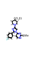 CCOC(=O)C1CCN(c2cn(-c3ccnc(SC)n3)c(-c3ccc(F)cc3)n2)CC1